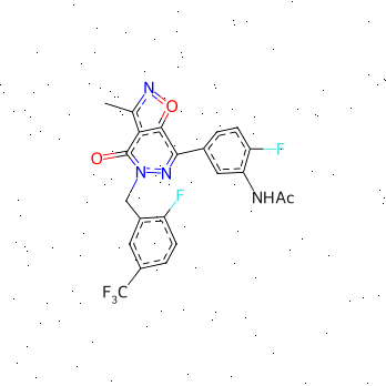 CC(=O)Nc1cc(-c2nn(Cc3cc(C(F)(F)F)ccc3F)c(=O)c3c(C)noc23)ccc1F